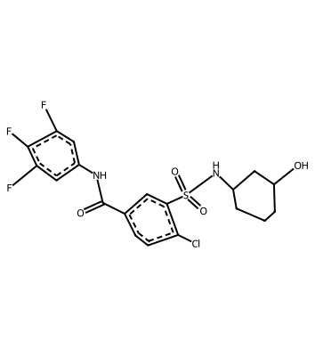 O=C(Nc1cc(F)c(F)c(F)c1)c1ccc(Cl)c(S(=O)(=O)NC2CCCC(O)C2)c1